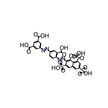 O=C(O)c1cc(/N=N/c2ccc(/N=N/c3c(S(=O)(=O)O)cc4cc(S(=O)(=O)O)cc(S(=O)(=O)O)c4c3O)c(C(=O)O)c2)cc(C(=O)O)c1